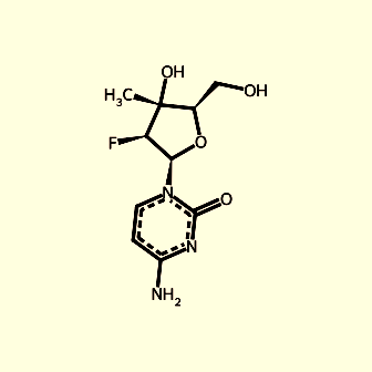 C[C@]1(O)[C@H](F)[C@H](n2ccc(N)nc2=O)O[C@@H]1CO